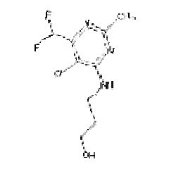 Cc1nc(NCCCO)c(Cl)c(C(F)F)n1